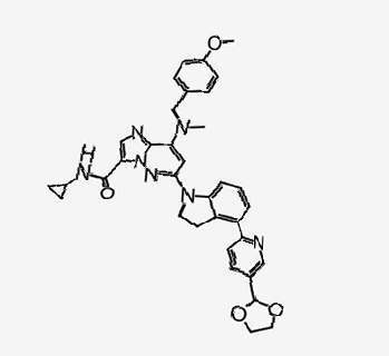 COc1ccc(CN(C)c2cc(N3CCc4c(-c5ccc(C6OCCO6)cn5)cccc43)nn3c(C(=O)NC4CC4)cnc23)cc1